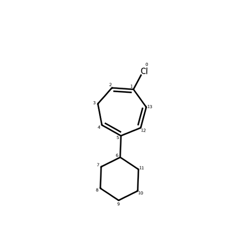 ClC1=CCC=C(C2CCCCC2)C=C1